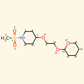 CS(=O)(=O)N1CCC(OCCOC2CCCCO2)CC1